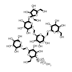 O.O.O.O.OC[C@H]1O[C@H](OC[C@H]2O[C@@H](O)[C@H](O)[C@@H](O)[C@@H]2O)[C@H](O)[C@@H](O)[C@H]1O.OC[C@H]1O[C@H](OC[C@H]2O[C@H](OC[C@H]3O[C@H](O[C@]4(CO)O[C@H](CO)[C@@H](O)[C@@H]4O)[C@H](O)[C@@H](O)[C@@H]3O)[C@H](O)[C@@H](O)[C@H]2O)[C@H](O)[C@@H](O)[C@H]1O